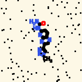 Cn1cc(-c2cnc3ccc(NC(N)=O)nc3n2)nn1